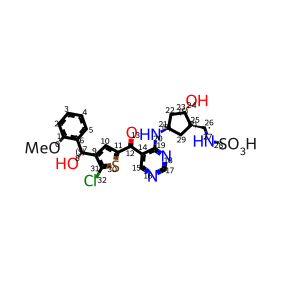 COc1ccccc1[C@H](O)c1cc(C(=O)c2cncnc2N[C@H]2C[C@H](O)[C@@H]([CH]NS(=O)(=O)O)C2)sc1Cl